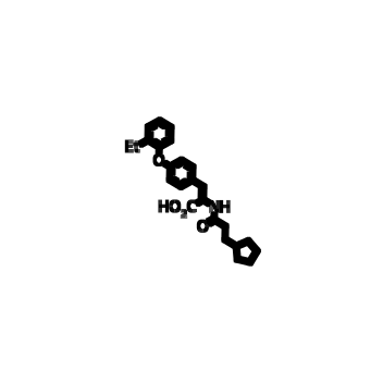 CCc1ccccc1Oc1ccc(/C=C(/NC(=O)CCC2CCCC2)C(=O)O)cc1